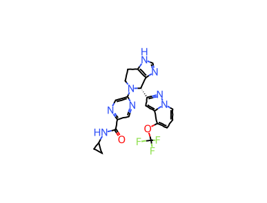 O=C(NC1CC1)c1cnc(N2CCc3[nH]cnc3[C@@H]2c2cc3c(OC(F)(F)F)cccn3n2)cn1